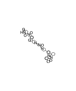 O=C1CC[C@H](N2Cc3c(ccc4c3OCC43CCN(C4CN(C(=O)CN5CCC(c6ccc7c(c6)-n6c(nc(=O)c8c(Cl)cccc86)C76CCCCC6)CC5)C4)CC3)C2=O)C(=O)N1